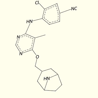 [C-]#[N+]c1ccc(Nc2ncnc(OCC3CC4CCC(C3)N4)c2C)c(Cl)c1